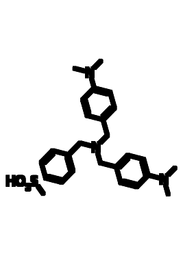 CN(C)c1ccc(CN(Cc2ccccc2)Cc2ccc(N(C)C)cc2)cc1.CS(=O)(=O)O